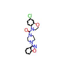 O=C(N1CCN(c2noc3ccccc23)CC1)N1CCOc2cc(Cl)ccc21